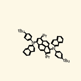 CC(C)c1cc(N(c2ccc(C(C)(C)C)cc2)c2ccc3ccccc3c2)c2ccc3c(C(C)C)cc(N(c4ccc(C(C)(C)C)cc4)c4ccc5ccccc5c4)c4ccc1c2c34